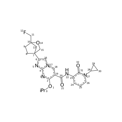 CC(C)Oc1nc2nc(C34CCC(CF)(C3)OC4)cn2cc1C(=O)Nc1cccn(C2CC2)c1=O